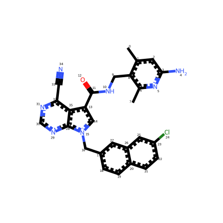 Cc1cc(N)nc(C)c1CNC(=O)c1cn(Cc2ccc3ccc(Cl)cc3c2)c2ncnc(C#N)c12